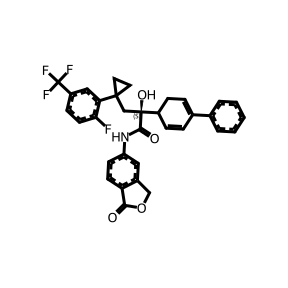 O=C1OCc2cc(NC(=O)[C@](O)(CC3(c4cc(C(F)(F)F)ccc4F)CC3)C3C=CC(c4ccccc4)=CC3)ccc21